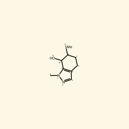 CSC1CCc2cnn(C)c2C1O